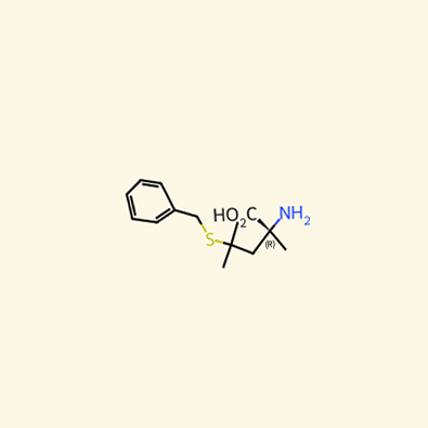 CC(C)(C[C@@](C)(N)C(=O)O)SCc1ccccc1